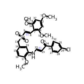 COc1cc(OC)c(/C=C/S(=O)(=O)Cc2ccc(OC)c(N/C=C/C(=O)c3ccc(Cl)cc3)c2)c(OC)c1